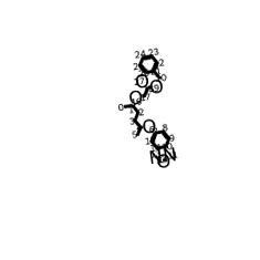 CC(CCC(C)Oc1ccc2nonc2c1)OCC1OCc2ccccc2O1